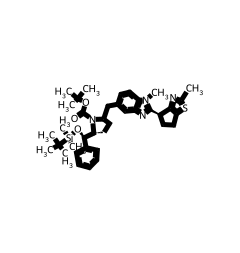 Cc1nc2c(s1)CC[C@H]2c1nc2cc(CC3CC[C@H]([C@H](O[Si](C)(C)C(C)(C)C)c4ccccc4)N3C(=O)OC(C)(C)C)ccc2n1C